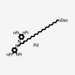 CCCCCCCCCCCCCCCCCCCCCCCCCCCCC=CC(C=Nc1ccc(CCC)c(CCC)c1)=Nc1ccc(CCC)c(CCC)c1.[Pd]